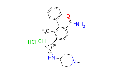 CN1CCC(N[C@@H]2C[C@H]2c2ccc(C(N)=O)c(-c3ccccc3)c2C(F)(F)F)CC1.Cl.Cl